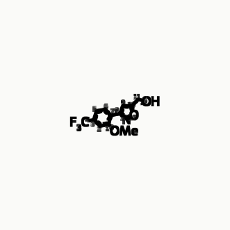 COc1cc(C(F)(F)F)ccc1-c1cc(CO)on1